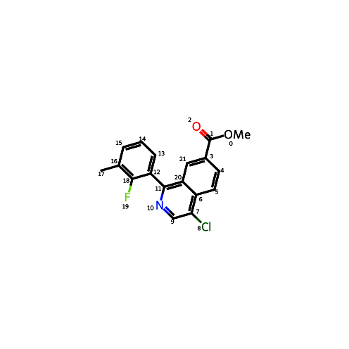 COC(=O)c1ccc2c(Cl)cnc(-c3cccc(C)c3F)c2c1